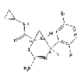 C[C@]1(c2cc(Br)ccc2F)N=C(N)S[C@@]2(C(=O)NC3CC3)C[C@H]21